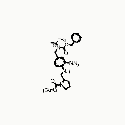 C[C@H](N(Cc1ccc(NCC2CCCN2C(=O)OC(C)(C)C)c(N)c1)C(=O)OCc1ccccc1)C(C)(C)C